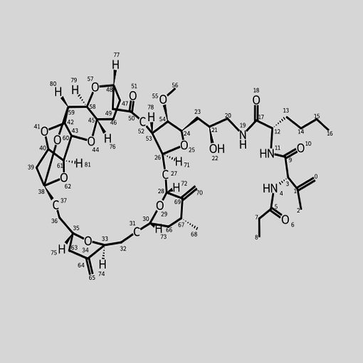 C=C(C)[C@H](NC(=O)CC)C(=O)N[C@@H](CCCC)C(=O)NC[C@@H](O)C[C@H]1O[C@H]2C[C@H]3O[C@@H](CC[C@@H]4O[C@@H](CC[C@@]56CC7OC8C(O[C@H]9CC[C@H](CC(=O)C[C@@H]2[C@H]1OC)O[C@@H]9[C@@H]8O5)[C@H]7O6)CC4=C)C[C@@H](C)C3=C